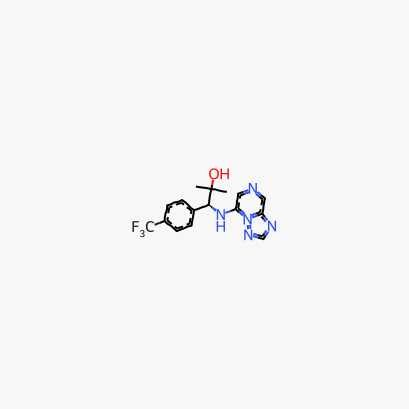 CC(C)(O)[C@@H](Nc1cncc2ncnn12)c1ccc(C(F)(F)F)cc1